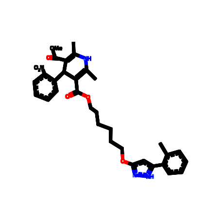 COC(=O)C1=C(C)NC(C)=C(C(=O)OCCCCCCOc2cc(-c3ccccc3C)[nH]n2)C1c1ccccc1[N+](=O)[O-]